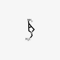 CCN1CC2C(N)C2C1